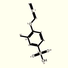 C=C=COc1ccc(S(=O)(=O)O)cc1C